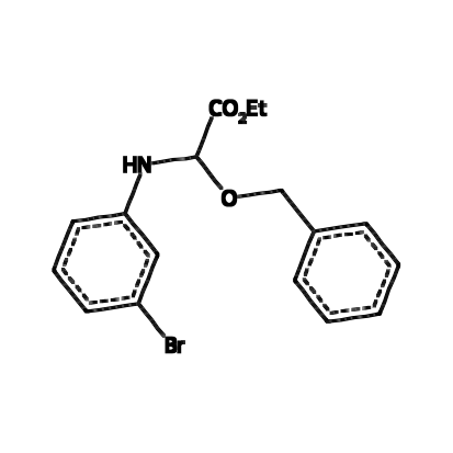 CCOC(=O)C(Nc1cccc(Br)c1)OCc1ccccc1